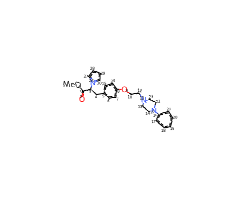 COC(=O)[C@H](Cc1ccc(OCCN2CCN(c3ccccc3)CC2)cc1)n1cccc1